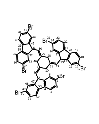 Brc1ccc2c(c1)C(C=C1CC(=CC3c4cc(Br)ccc4-c4ccc(Br)cc43)CC(=CC3c4cc(Br)ccc4-c4ccc(Br)cc43)C1)c1cc(Br)ccc1-2